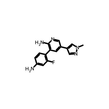 Cn1cc(-c2cnc(N)c(-c3ccc(N)cc3F)c2)cn1